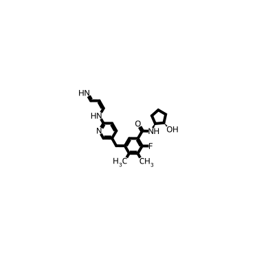 Cc1c(Cc2ccc(N/C=C\C=N)nc2)cc(C(=O)N[C@H]2CCC[C@@H]2O)c(F)c1C